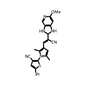 COc1cc2c(cn1)NC(/C(C#N)=C/c1cc(C)n(-c3sc(C(C)C)cc3C#N)c1C)N2